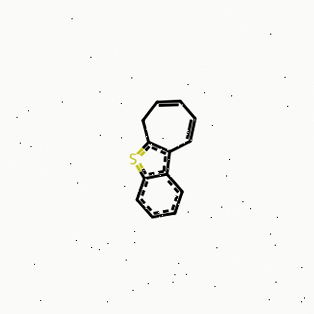 C1=CCc2sc3ccccc3c2C=C1